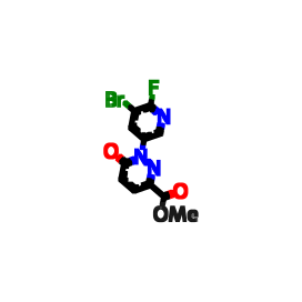 COC(=O)c1ccc(=O)n(-c2cnc(F)c(Br)c2)n1